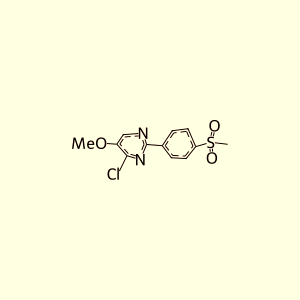 COc1cnc(-c2ccc(S(C)(=O)=O)cc2)nc1Cl